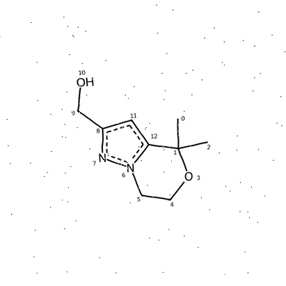 CC1(C)OCCn2nc(CO)cc21